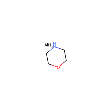 C1COCCN1.[AlH3]